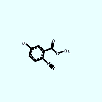 [C-]#[N+]c1ccc(Br)cc1C(=O)OC